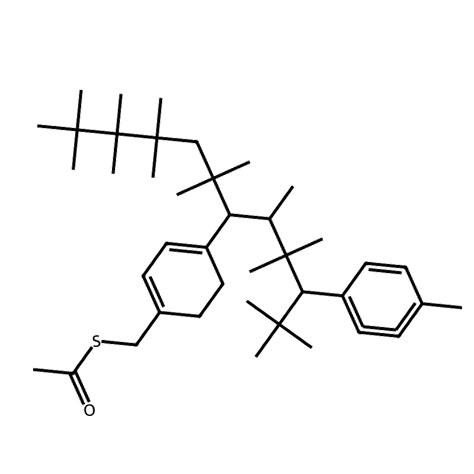 CC(=O)SCC1=CC=C(C(C(C)C(C)(C)C(C2=C=C=C(C)C=C2)C(C)(C)C)C(C)(C)CC(C)(C)C(C)(C)C(C)(C)C)CC1